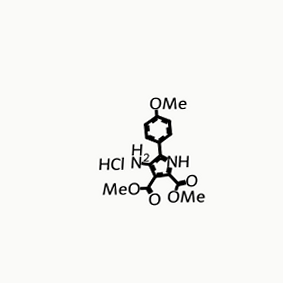 COC(=O)c1[nH]c(-c2ccc(OC)cc2)c(N)c1C(=O)OC.Cl